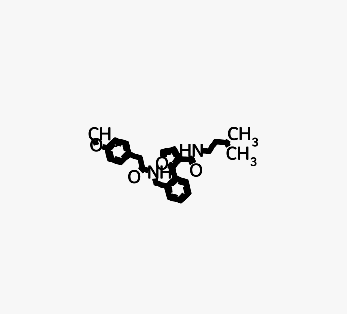 COc1ccc(CC(=O)NCc2ccccc2-c2occc2C(=O)NCCC(C)C)cc1